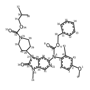 COc1ccc(N(C(=O)OCc2ccccc2)c2cc3c(cn2)n(C)c(=O)n3C2CCN(C(=O)OCC(C)C)CC2)c(C)c1